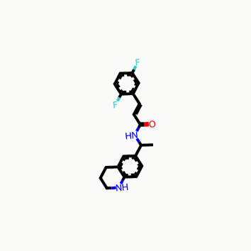 CC(NC(=O)C=Cc1cc(F)ccc1F)c1ccc2c(c1)CCCN2